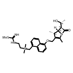 CSC(=N)NCC[N+](C)(C)Cc1cccc2c(OCC3=C(C)N4C(=O)[C@H]([C@@H](C)O)[C@H]4[C@H]3C)cccc12